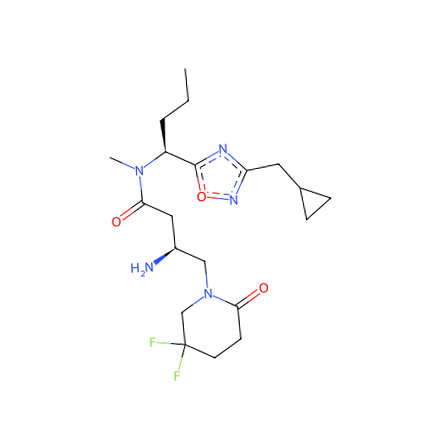 CCC[C@@H](c1nc(CC2CC2)no1)N(C)C(=O)C[C@H](N)CN1CC(F)(F)CCC1=O